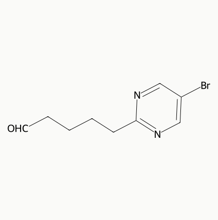 O=CCCCCc1ncc(Br)cn1